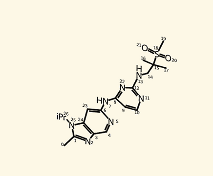 Cc1nc2cnc(Nc3ccnc(NCC(C)(C)S(C)(=O)=O)n3)cc2n1C(C)C